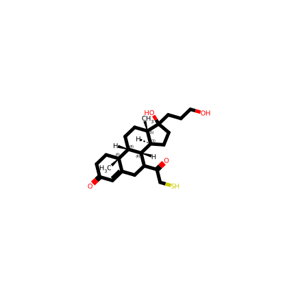 C[C@]12CCC(=O)C=C1CC(C(=O)CS)[C@@H]1[C@H]2CC[C@@]2(C)[C@H]1CCC2(O)CCCO